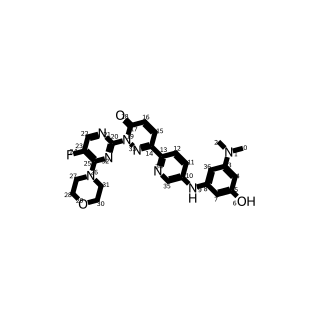 CN(C)c1cc(O)cc(Nc2ccc(-c3ccc(=O)n(-c4ncc(F)c(N5CCOCC5)n4)n3)nc2)c1